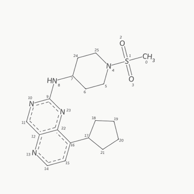 CS(=O)(=O)N1CCC(Nc2ncc3nccc(C4CCCC4)c3n2)CC1